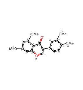 COc1cc(OC)c2c(=O)c(-c3ccc(OC)c(OC)c3)coc2c1